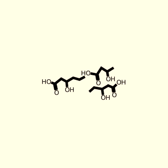 CC(O)CC(=O)O.CCC(O)CC(=O)O.CCCC(O)CC(=O)O